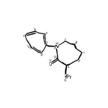 CC(C)C1CCCCN(c2ccccc2)C1=O